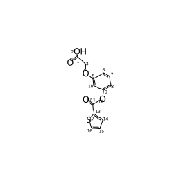 O=C(O)COc1cccc(OC(=O)c2cccs2)c1